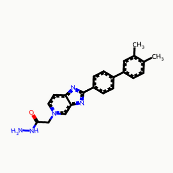 Cc1ccc(-c2ccc(-c3nc4ccn(CC(=O)NN)cc-4n3)cc2)cc1C